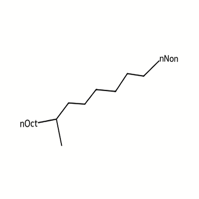 CCCCCCCCCCCCCCCC(C)CCCCCCCC